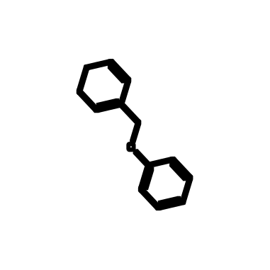 C1=CC(COc2ccccc2)=CCC1